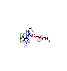 COC(=O)CCOCC(C)Nc1cn[nH]c(=O)c1C(F)(F)F